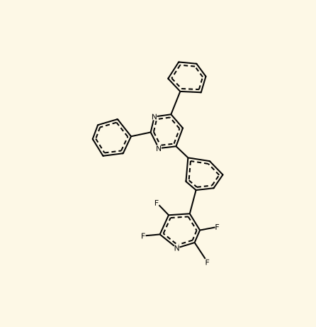 Fc1nc(F)c(F)c(-c2cccc(-c3cc(-c4ccccc4)nc(-c4ccccc4)n3)c2)c1F